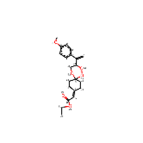 C=C(c1ccc(OC)cc1)C1COC2(CCC(=CC(=O)OCC)CC2)OO1